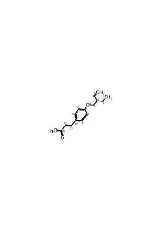 CCC(CC)COc1ccc(CCC(=O)O)cc1